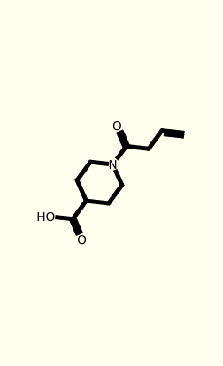 C=CCC(=O)N1CCC(C(=O)O)CC1